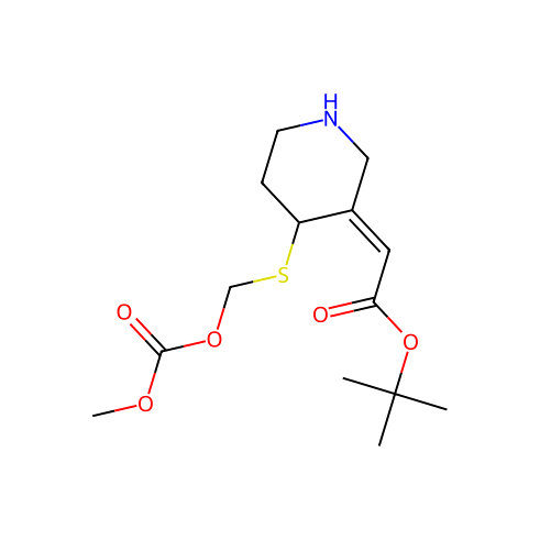 COC(=O)OCSC1CCNC/C1=C/C(=O)OC(C)(C)C